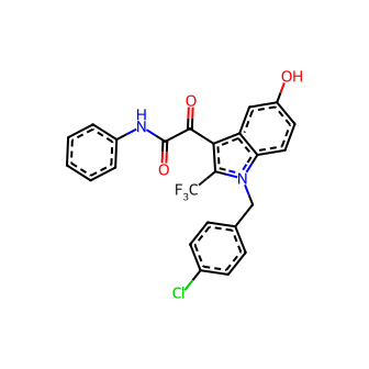 O=C(Nc1ccccc1)C(=O)c1c(C(F)(F)F)n(Cc2ccc(Cl)cc2)c2ccc(O)cc12